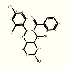 CCC[C@H]1OC[C@@H](OCc2ccc(C(F)(F)F)cc2I)[C@@H](C(C)OC(=O)c2ccccc2)O1